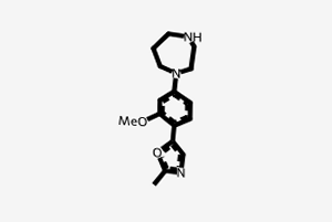 COc1cc(N2CCCNCC2)ccc1-c1cnc(C)o1